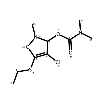 CCSC1=C(Cl)C(OC(=O)N(C)C)N(C)O1